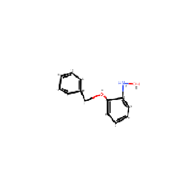 ONc1ccccc1OCc1ccccc1